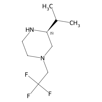 CC(C)[C@H]1CN(CC(F)(F)F)CCN1